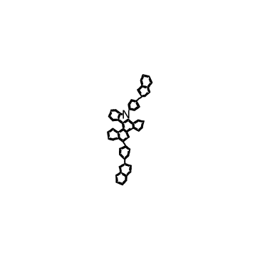 c1ccc2cc(-c3ccc(-c4cc5c6ccccc6c6c(c7ccccc7n6-c6ccc(-c7ccc8ccccc8c7)cc6)c5c5ccccc45)cc3)ccc2c1